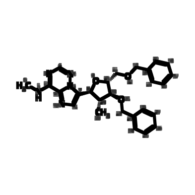 CNc1ncnn2c([C@H]3O[C@H](COCc4ccccc4)[C@@H](OCc4ccccc4)[C@@H]3C)cnc12